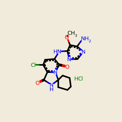 COc1c(N)ncnc1Nc1cc(Cl)c2n(c1=O)C1(CCCCC1)NC2=O.Cl